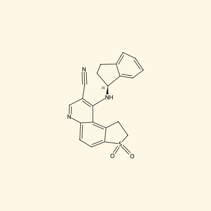 N#Cc1cnc2ccc3c(c2c1N[C@H]1CCc2ccccc21)CCS3(=O)=O